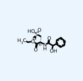 CCOC(=O)[C@H](CS(=O)(=O)O)NC(=O)C(O)c1ccccc1